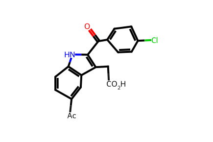 CC(=O)c1ccc2[nH]c(C(=O)c3ccc(Cl)cc3)c(CC(=O)O)c2c1